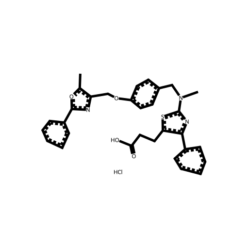 Cc1oc(-c2ccccc2)nc1COc1ccc(CN(C)c2nc(-c3ccccc3)c(CCC(=O)O)s2)cc1.Cl